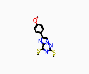 COc1ccc(-c2cn3nc(SC)nc(SC)c3n2)cc1